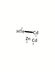 [Cd].[Cd][TeH].[Zn]